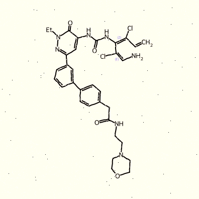 C=C/C(Cl)=C(NC(=O)Nc1cc(-c2cccc(-c3ccc(CC(=O)NCCN4CCOCC4)cc3)c2)nn(CC)c1=O)\C(Cl)=C/N